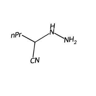 CCCC(C#N)NN